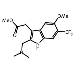 COC(=O)Cc1c(CN(C)C)[nH]c2cc(C(F)(F)F)c(OC)cc12